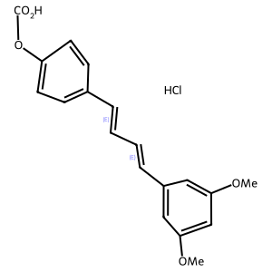 COc1cc(/C=C/C=C/c2ccc(OC(=O)O)cc2)cc(OC)c1.Cl